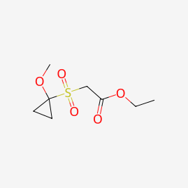 CCOC(=O)CS(=O)(=O)C1(OC)CC1